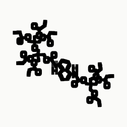 C=CC(=O)OCC(COC(=O)C=C)(COC(=O)C=C)COC(=O)Nc1cccc2c(NC(=O)OCC(COC(=O)C=C)(COC(=O)C=C)COC(COC(=O)C=C)(COC(=O)C=C)COC(=O)C=C)cccc12